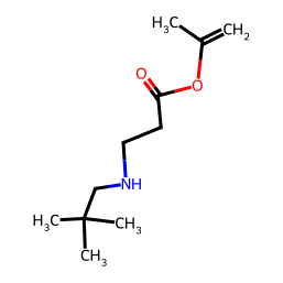 C=C(C)OC(=O)CCNCC(C)(C)C